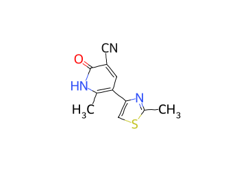 Cc1nc(-c2cc(C#N)c(=O)[nH]c2C)cs1